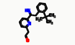 CC(C)(C)c1ccccc1CC(=N)c1cccc(CC=O)n1